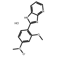 COc1cc([S+](C)[O-])ccc1-c1nc2ncccc2[nH]1.Cl